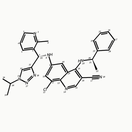 Cc1ncccc1[C@H](Nc1cc(Cl)c2ncc(C#N)c(N[C@H](C)c3ccccc3)c2c1)c1cn(C(C)C)nn1